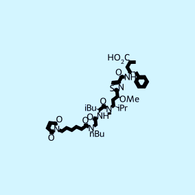 CCCCN(CC(=O)N[C@H](C(=O)N(C)[C@H](C[C@@H](OC)c1nc(C(=O)N[C@@H](Cc2ccccc2)C[C@H](C)C(=O)O)cs1)C(C)C)[C@@H](C)CC)C(=O)CCCCCN1C(=O)C=CC1=O